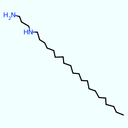 CCCCCCCCCCCCCCCCCCCCCNCCCN